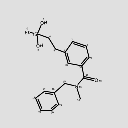 CC[Si](O)(O)CCc1cccc(C(=O)N(C)Cc2ccccc2)c1